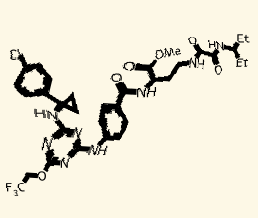 CCC(CC)NC(=O)C(=O)NCCC(NC(=O)c1ccc(Nc2nc(NC3(c4ccc(Cl)cc4)CC3)nc(OCC(F)(F)F)n2)cc1)C(=O)OC